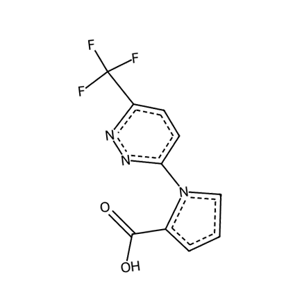 O=C(O)c1cccn1-c1ccc(C(F)(F)F)nn1